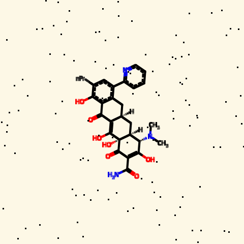 CCCc1cc(-c2ccccn2)c2c(c1O)C(=O)C1=C(O)[C@]3(O)C(=O)C(C(N)=O)=C(O)[C@@H](N(C)C)[C@@H]3C[C@@H]1C2